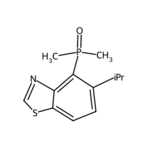 CC(C)c1ccc2scnc2c1P(C)(C)=O